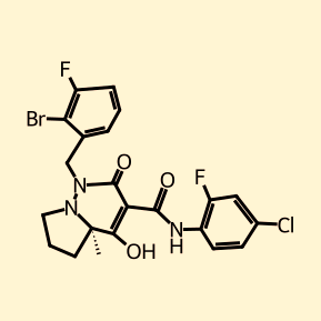 C[C@]12CCCN1N(Cc1cccc(F)c1Br)C(=O)C(C(=O)Nc1ccc(Cl)cc1F)=C2O